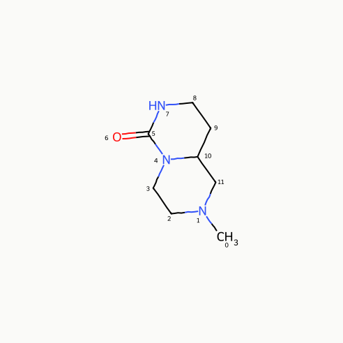 CN1CCN2C(=O)NCCC2C1